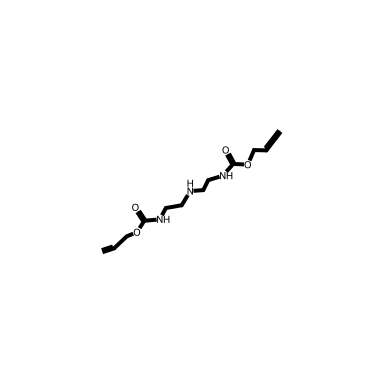 C=CCOC(=O)NCCNCCNC(=O)OCC=C